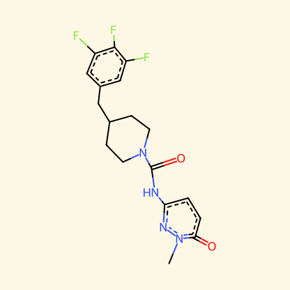 Cn1nc(NC(=O)N2CCC(Cc3cc(F)c(F)c(F)c3)CC2)ccc1=O